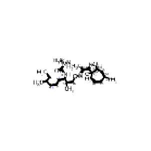 CCC(C)/C=C\C=C(\NC(=O)N(C)N)C(C)CON=C(C)C1=NO[C@H]2C=C(P)CC=CC12C